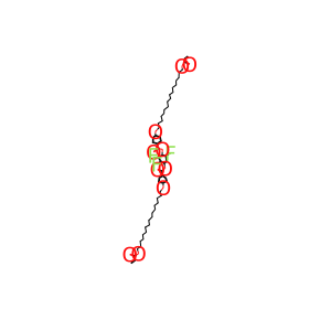 C=CC(=O)OCCCCCCCCCCCCCCCCCOc1ccc(C(=O)Oc2cc(F)c(OC(=O)c3ccc(OCCCCCCCCCCCCCCCCCOC(=O)C=C)cc3)c(F)c2F)cc1